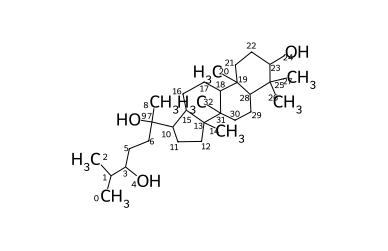 CC(C)C(O)CCC(C)(O)C1CCC2(C)C1CCC1C3(C)CCC(O)C(C)(C)C3CCC12C